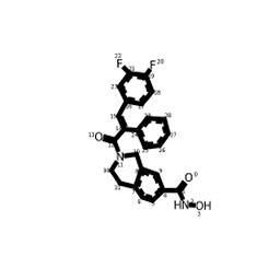 O=C(NO)c1ccc2c(c1)CN(C(=O)C(=Cc1ccc(F)c(F)c1)c1ccccc1)CC2